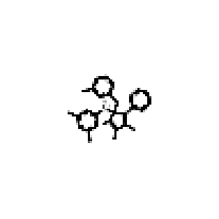 CC1=C(C)C(Cc2cccc(C)c2)([SiH2]c2cc(C)cc(C)c2)C(c2ccccc2)=C1C